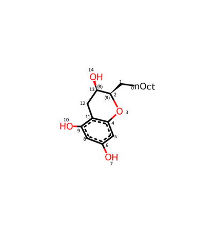 CCCCCCCCC[C@H]1Oc2cc(O)cc(O)c2C[C@H]1O